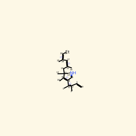 C=C/C(C)=C(C)\C(C=N)=C(/C)C(C)(C)C/C(C)=C\C(C)=C/CC